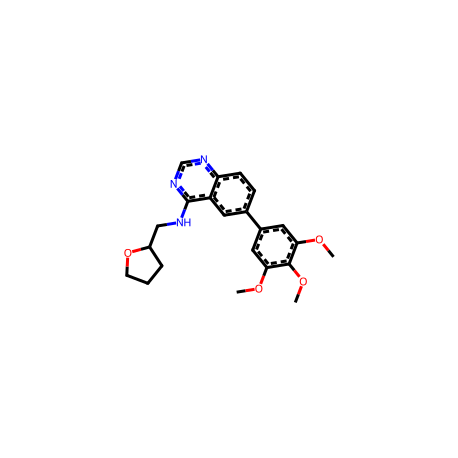 COc1cc(-c2ccc3ncnc(NCC4CCCO4)c3c2)cc(OC)c1OC